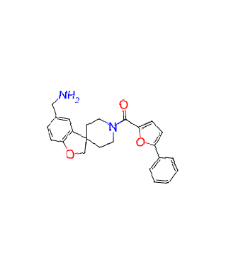 NCc1ccc2c(c1)C1(CCN(C(=O)c3ccc(-c4ccccc4)o3)CC1)CO2